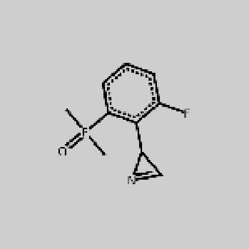 CP(C)(=O)c1cccc(F)c1C1C=N1